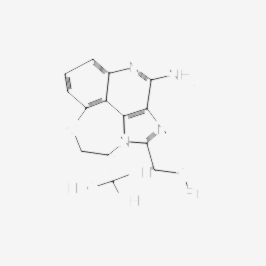 CCOCc1nc2c(N)nc3cccc4c3c2n1[C@H](C(C)(C)O)CO4